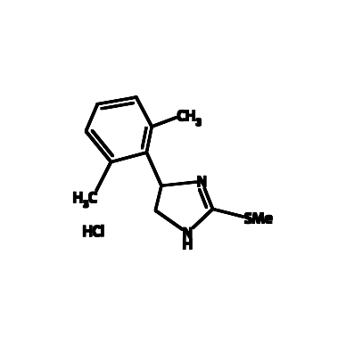 CSC1=NC(c2c(C)cccc2C)CN1.Cl